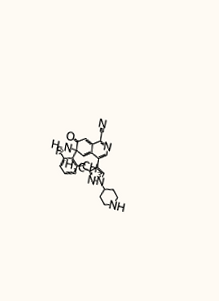 Cc1cccc(F)c1C1(N)C=c2c(-c3cn(C4CCNCC4)nc3C)cnc(C#N)c2=CC1=O